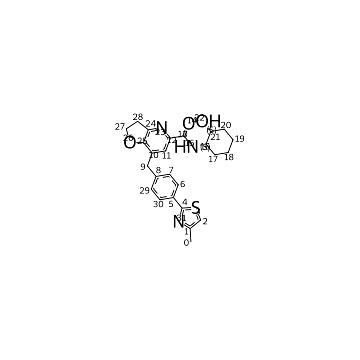 Cc1csc(-c2ccc(Cc3cc(C(=O)N[C@H]4CCCC[C@@H]4O)nc4c3OCC4)cc2)n1